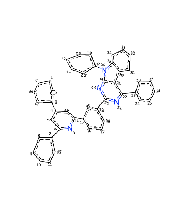 c1ccc(-c2cc(-c3ccccc3)nc(-c3cccc(-c4nc(-c5ccccc5)c5c6ccccc6n(-c6ccccc6)c5n4)c3)c2)cc1